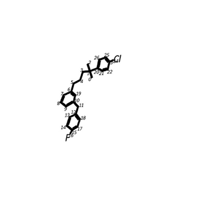 CC(C)(CCCc1cccc(Cc2ccc(F)cc2)c1)c1ccc(Cl)cc1